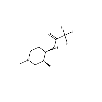 C[C@H]1CN(C)CC[C@H]1NC(=O)C(F)(F)F